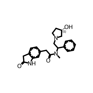 CN(C(=O)Cc1ccc2c(c1)NC(=O)C2)C(CN1CC[C@H](O)C1)c1ccccc1